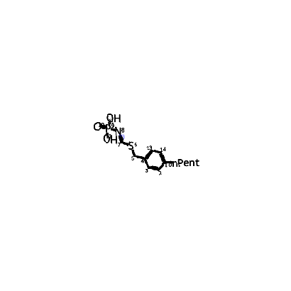 CCCCCc1ccc(CS/C=N/P(=O)(O)O)cc1